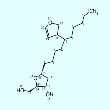 CCCCCC(CCCC[C@H]1C[C@H](O)[C@@H](CO)O1)C1C=COC1